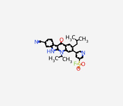 CC(C)Cc1cc2c(=O)c3c4ccc(C#N)cc4[nH]c3n(C(C)C)c2cc1-c1cncc(S(=O)(=O)F)c1